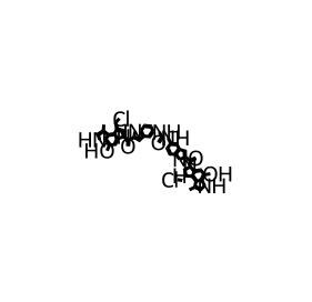 Cc1c[nH]c2c(O)cc3c(c12)C(CCl)CN3C(=O)c1cc2cc(NC(=O)Nc3ccc4[nH]c(C(=O)N5C[C@@H](CCl)c6c5cc(O)c5[nH]cc(C)c65)cc4c3)ccc2[nH]1